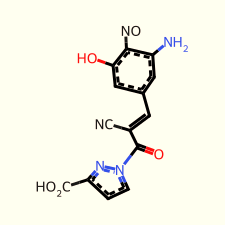 N#C/C(=C\c1cc(N)c(N=O)c(O)c1)C(=O)n1ccc(C(=O)O)n1